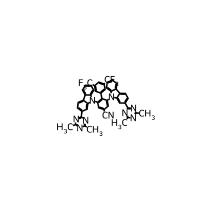 Cc1nc(C)nc(-c2ccc3c4ccccc4n(-c4cc(C#N)cc(-n5c6ccccc6c6ccc(-c7nc(C)nc(C)n7)cc65)c4-c4cc(C(F)(F)F)cc(C(F)(F)F)c4)c3c2)n1